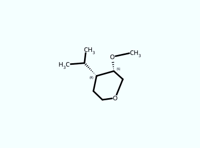 CO[C@@H]1COCC[C@@H]1C(C)C